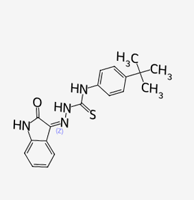 CC(C)(C)c1ccc(NC(=S)N/N=C2\C(=O)Nc3ccccc32)cc1